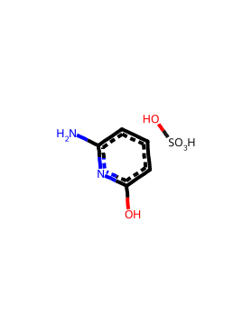 Nc1cccc(O)n1.O=S(=O)(O)O